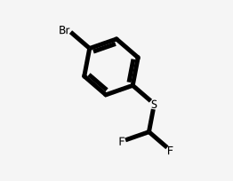 FC(F)Sc1ccc(Br)cc1